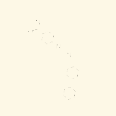 CCN(CC)C(=O)c1ccc(N2CCN(Cc3ccc(-c4cccc(O)c4)c(F)c3)CC2)cc1